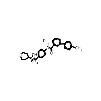 Cc1ccc(-c2cccc(C(=O)Nc3ccc(C[N+](C)(C)C4CCOCC4)cc3)c2)cc1.[I-]